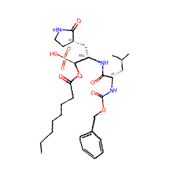 CCCCCCCC(=O)OC([C@H](C[C@@H]1CCNC1=O)NC(=O)[C@H](CC(C)C)NC(=O)OCc1ccccc1)S(=O)(=O)O